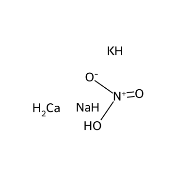 O=[N+]([O-])O.[CaH2].[KH].[NaH]